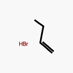 Br.C=CCC